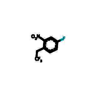 O=[N+]([O-])c1cc(F)ccc1CC(F)(F)F